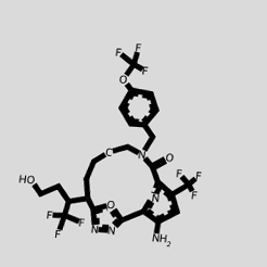 Nc1cc(C(F)(F)F)c2nc1-c1nnc(o1)C(C(CCO)C(F)(F)F)CCCCN(Cc1ccc(OC(F)(F)F)cc1)C2=O